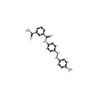 O=C(O)c1cccc(C(=O)Oc2ccc(CCc3ccc(O)cc3)cc2)c1